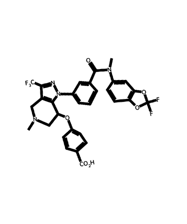 CN1Cc2c(C(F)(F)F)nn(-c3cccc(C(=O)N(C)c4ccc5c(c4)OC(F)(F)O5)c3)c2C(Oc2ccc(C(=O)O)cc2)C1